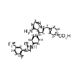 Nc1ncnn2c(CN3CCN(C(=O)O)CC3)cc(-c3ccc(NC(=O)Nc4cc(C(F)(F)F)ccc4F)cc3)c12